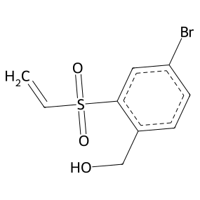 C=CS(=O)(=O)c1cc(Br)ccc1CO